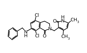 Cc1cc(C)c(CN2CCc3c(Cl)cc(NCc4ccccc4)c(Cl)c3C2=O)c(=O)[nH]1